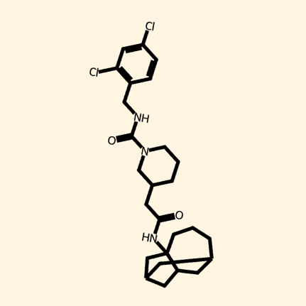 O=C(CC1CCCN(C(=O)NCc2ccc(Cl)cc2Cl)C1)NC12CCCC3CC(CC1C3)C2